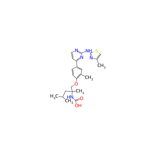 Cc1csc(Nc2nccc(-c3ccc(OCC(C)(CC(C)C)NC(=O)O)c(C)c3)n2)n1